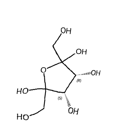 OCC1(O)OC(O)(CO)[C@@H](O)[C@H]1O